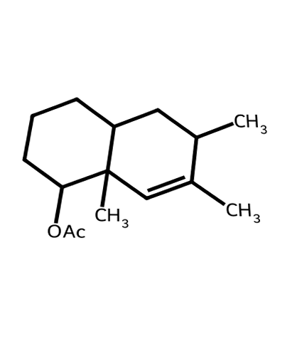 CC(=O)OC1CCCC2CC(C)C(C)=CC21C